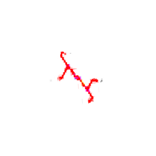 CCCCOC(=O)CCCCCCC(O)CN(CCCCC(=O)OCCN1CCN(CCSSCCCCN(CC(O)CCCCC(=O)OCC(CC)CC)CC(O)CCCCC(=O)OCC(CC)CC)CC1)CC(O)CCCCCCC(=O)OCCCC